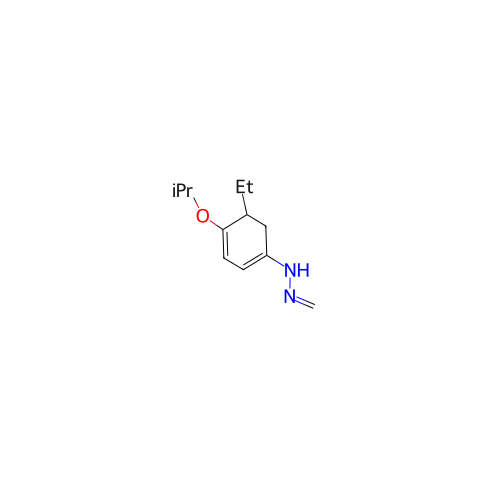 C=NNC1=CC=C(OC(C)C)C(CC)C1